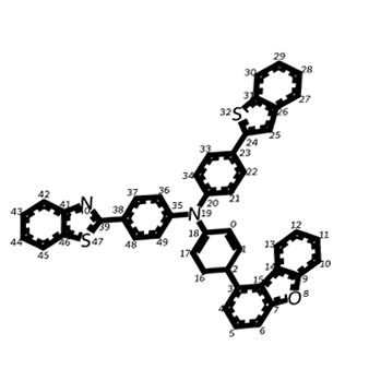 C1=CC(c2cccc3oc4ccccc4c23)CC=C1N(c1ccc(-c2cc3ccccc3s2)cc1)c1ccc(-c2nc3ccccc3s2)cc1